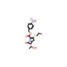 CC(O)[C@@H]1C(=O)N2C(C(=O)OCc3ccc([N+](=O)[O-])cc3)=C(SCCI)CC12